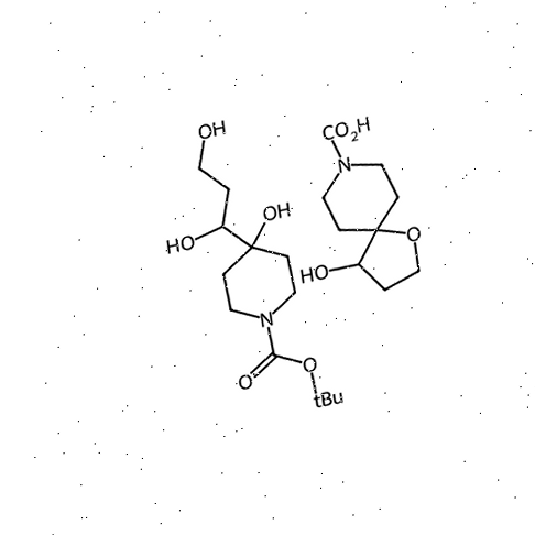 CC(C)(C)OC(=O)N1CCC(O)(C(O)CCO)CC1.O=C(O)N1CCC2(CC1)OCCC2O